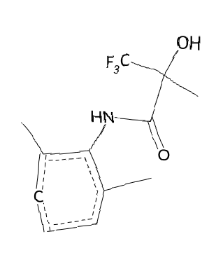 Cc1cccc(C)c1NC(=O)C(C)(O)C(F)(F)F